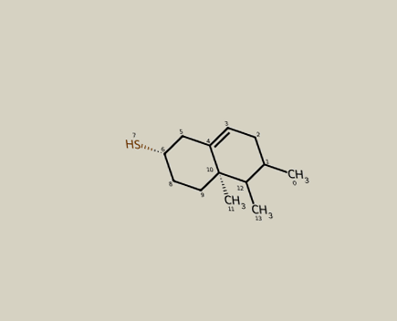 CC1CC=C2C[C@@H](S)CC[C@]2(C)C1C